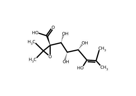 CC(C)=C(O)[C@@H](O)[C@H](O)[C@@H](O)[C@]1(C(=O)O)OC1(C)C